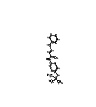 CC(C)(C)Sc1ccc(NC(=O)C=COc2ccccc2)cc1